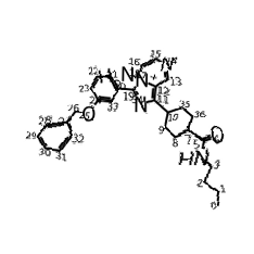 CCCCNC(=O)C1CCC(C2=C3C=NC=C[N+]3(N)C(c3cccc(OCc4ccccc4)c3)=N2)CC1